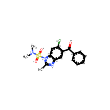 CN(C)S(=O)(=O)n1c(C#N)nc2cc(C(=O)c3ccccc3)c(Cl)cc21